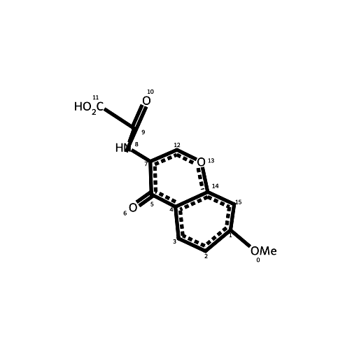 COc1ccc2c(=O)c(NC(=O)C(=O)O)coc2c1